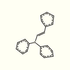 [C](=Cc1ccccc1)N(c1ccccc1)c1ccccc1